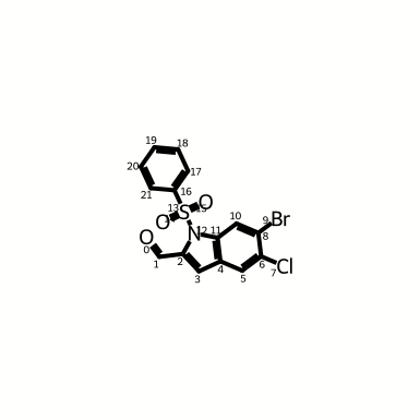 O=Cc1cc2cc(Cl)c(Br)cc2n1S(=O)(=O)c1ccccc1